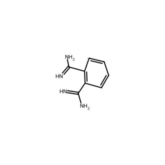 N=C(N)c1[c]cccc1C(=N)N